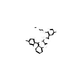 COCCNc1ncc(F)cc1C(=O)NC1NC(c2c(Cl)cc(Cl)cc2Cl)=C2CC=CC=C2NC1=O